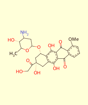 COc1cccc2c1C(=O)c1c(O)c3c(c(O)c1C2=O)C[C@@](O)(C(=O)CO)C[C@@H]3OC1CC(N)[C@@H](O)C(C)O1